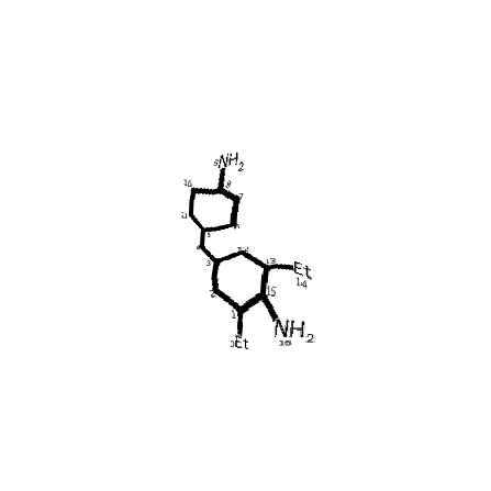 CCC1CC(CC2CCC(N)CC2)CC(CC)C1N